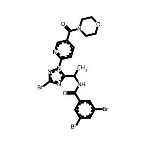 CC(NC(=O)c1cc(Br)cc(Br)c1)c1nc(Br)nn1-c1ccc(C(=O)N2CCOCC2)cn1